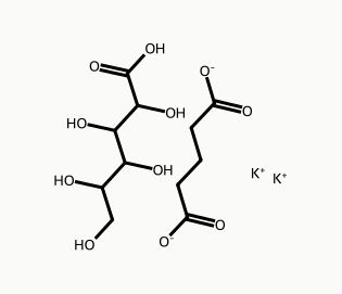 O=C(O)C(O)C(O)C(O)C(O)CO.O=C([O-])CCCC(=O)[O-].[K+].[K+]